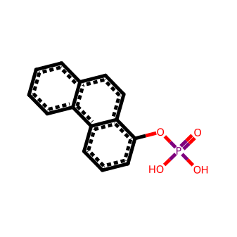 O=P(O)(O)Oc1cccc2c1ccc1ccccc12